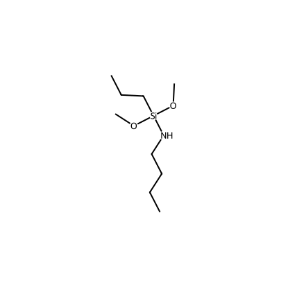 CCCCN[Si](CCC)(OC)OC